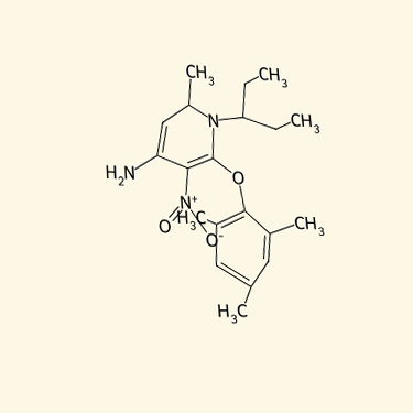 CCC(CC)N1C(Oc2c(C)cc(C)cc2C)=C([N+](=O)[O-])C(N)=CC1C